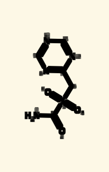 NC(=O)S(=O)(=O)Cc1ncncn1